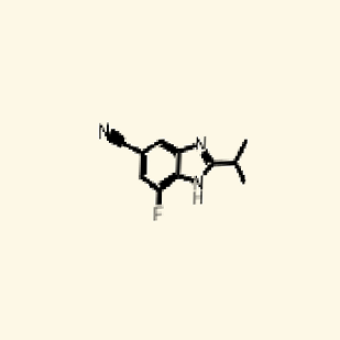 CC(C)c1nc2cc(C#N)cc(F)c2[nH]1